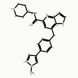 Cn1cc(-c2ccc(Cc3cc(C(=O)NC4CCOCC4)nc4ccsc34)cc2)cn1